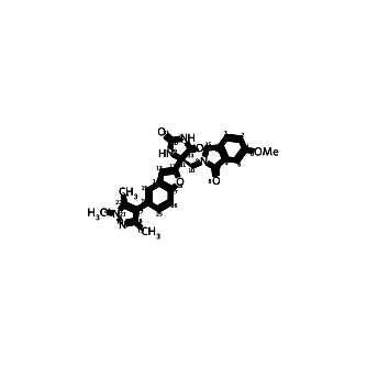 COc1ccc2c(c1)C(=O)N(C[C@@]1(c3cc4cc(-c5c(C)nn(C)c5C)ccc4o3)NC(=O)NC1=O)C2